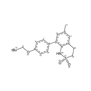 Cc1cc2c(c(-c3ccc(OCC(C)(C)C)cc3)c1)NS(=O)(=O)CC2